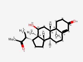 COC(=O)C(C)[C@H]1CC[C@H]2[C@@H]3CCC4=CC(=O)CC[C@]4(C)[C@H]3CC(O)[C@]12C